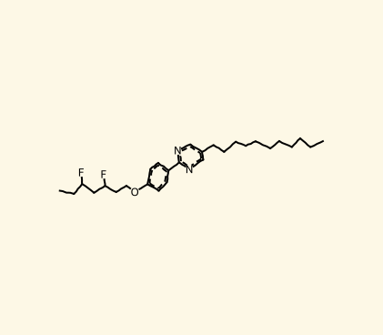 CCCCCCCCCCCc1cnc(-c2ccc(OCCC(F)CC(F)CC)cc2)nc1